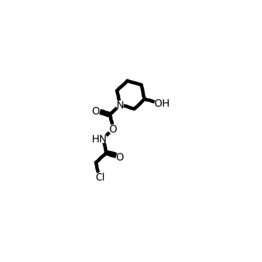 O=C(CCl)NOC(=O)N1CCCC(O)C1